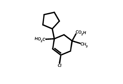 CC1(C(=O)O)CC(Cl)=CC(C(=O)O)(C2CCCC2)C1